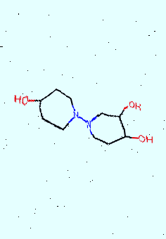 O[C]1CCN(N2CCC(O)CC2)CC1O